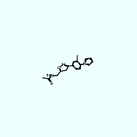 CC(=S)NCC1CC(c2ccc(-n3cccc3)c(F)c2)=NO1